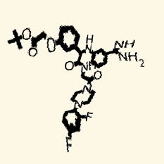 CC(C)(C)OC(=O)COc1cccc(C(Nc2cccc(C(=N)N)c2)C(=O)NCC(=O)N2CCN(c3ccc(F)cc3F)CC2)c1